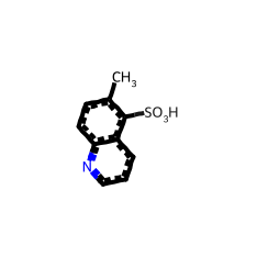 Cc1ccc2ncccc2c1S(=O)(=O)O